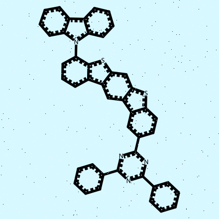 c1ccc(-c2nc(-c3ccccc3)nc(-c3ccc4sc5cc6sc7c(-n8c9ccccc9c9ccccc98)cccc7c6cc5c4c3)n2)cc1